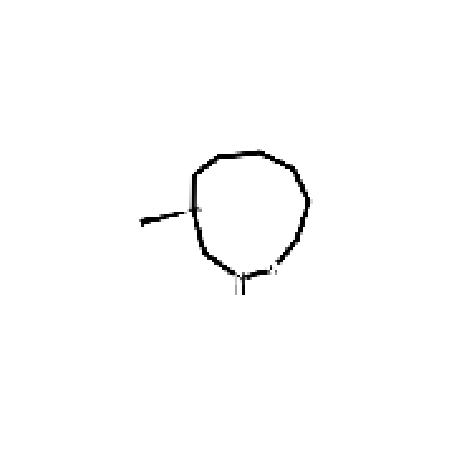 C[C@H]1CCCCCCSNC1